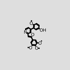 COc1ccc(O)cc1-c1ccnc2cc(-c3cc(OC)c(OC)c(OC)c3)oc12